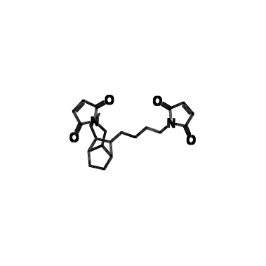 CCC1C(CCCCN2C(=O)C=CC2=O)C2CCC1C2CN1C(=O)C=CC1=O